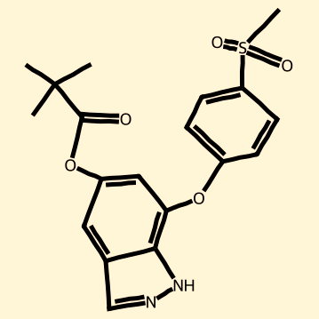 CC(C)(C)C(=O)Oc1cc(Oc2ccc(S(C)(=O)=O)cc2)c2[nH]ncc2c1